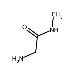 CNC(=O)[CH]N